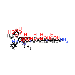 C/C=C/C=C/CC(OC1OC(C)C(O)C(O)C1O)C(C)C(CC(O)CC(O)CC(O)/C=C/CC(O)CC(O)CC(O)CC(O)/C=C/CC(O)CC(O)CCCN)NCc1ccccc1